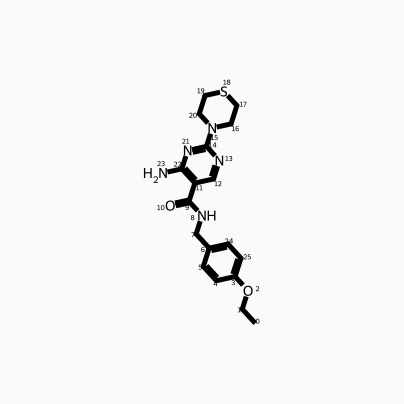 CCOc1ccc(CNC(=O)c2cnc(N3CCSCC3)nc2N)cc1